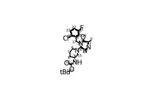 Cc1nnc(N2CCC[C@@H](NC(=O)OC(C)(C)C)C2)n(Cc2cc(F)ccc2Cl)c1=O